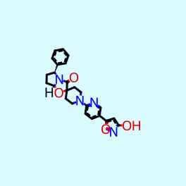 O=C1N2[C@@H](CC[C@H]2c2ccccc2)OC12CCN(c1ccc(-c3cc(O)no3)cn1)CC2